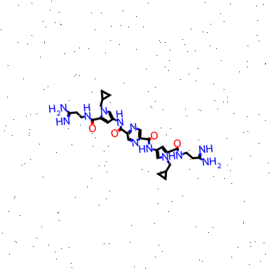 N=C(N)CCNC(=O)c1cc(NC(=O)c2cnc(C(=O)Nc3cc(C(=O)NCCC(=N)N)n(CC4CC4)c3)cn2)cn1CC1CC1